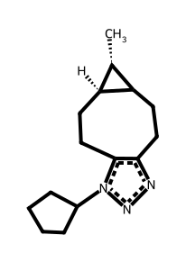 C[C@@H]1C2CCc3nnn(C4CCCC4)c3CC[C@H]21